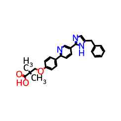 CC(C)(COc1ccc(-c2ccc(-c3ncc(Cc4ccccc4)[nH]3)cn2)cc1)C(=O)O